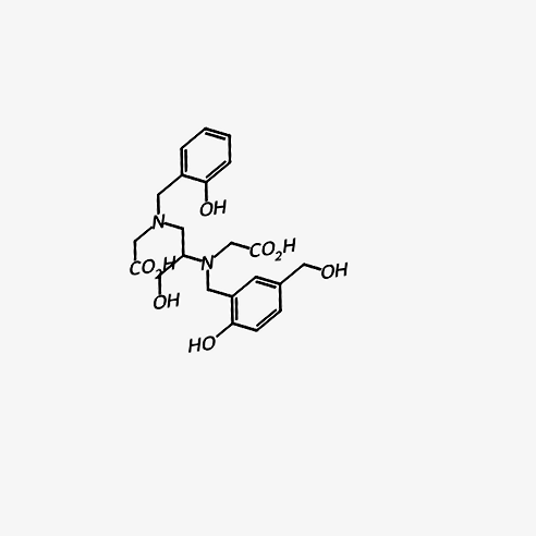 O=C(O)CN(Cc1ccccc1O)CC(CO)N(CC(=O)O)Cc1cc(CO)ccc1O